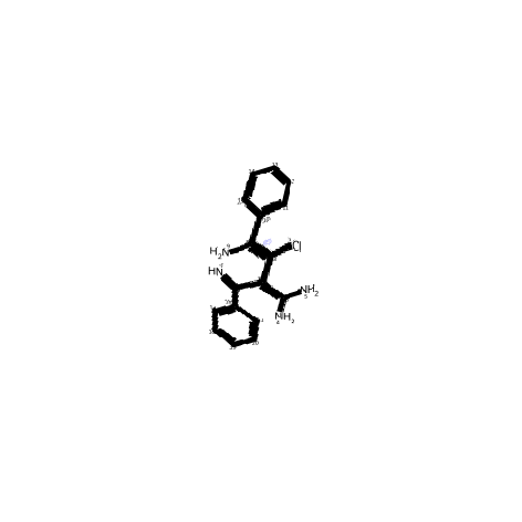 N=C(C(=C(N)N)/C(Cl)=C(\N)c1ccccc1)c1ccccc1